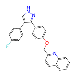 Fc1ccc(-c2c[nH]nc2-c2ccc(OCc3ccc4ccccc4n3)cc2)cc1